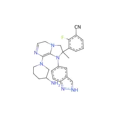 CC1(c2cccc(C#N)c2F)CN2CC=NC(N3CCCC(N)C3)=C2N1c1ccc2n[nH]cc2c1